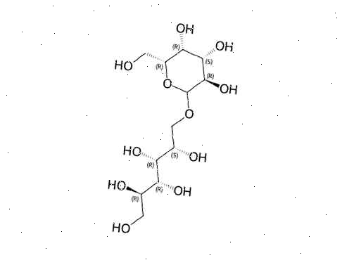 OC[C@@H](O)[C@@H](O)[C@H](O)[C@@H](O)COC1O[C@H](CO)[C@H](O)[C@H](O)[C@H]1O